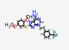 COc1ccc(OC)c(Sc2nc3c(N)ncn(CCc4cccc(C(F)(F)F)c4)c-3n2)c1